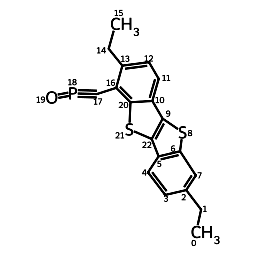 CCc1ccc2c(c1)sc1c3ccc(CC)c(C#P=O)c3sc21